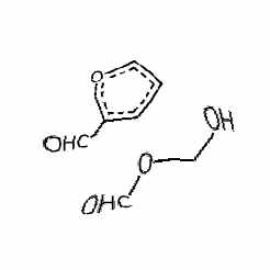 O=COCO.O=Cc1ccco1